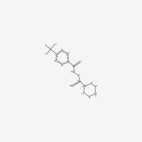 CC(C)(C)c1ccc(C(=O)OCC(=O)N2CCOCC2)cc1